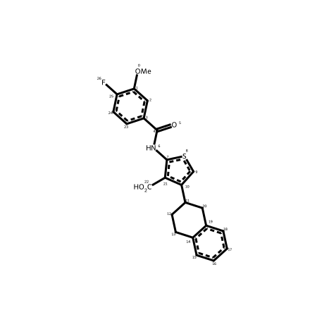 COc1cc(C(=O)Nc2scc(C3CCc4ccccc4C3)c2C(=O)O)ccc1F